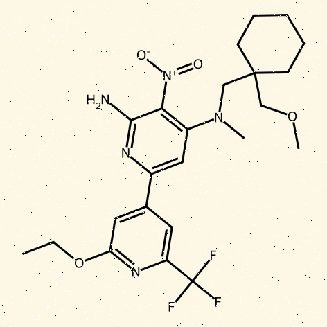 CCOc1cc(-c2cc(N(C)CC3(COC)CCCCC3)c([N+](=O)[O-])c(N)n2)cc(C(F)(F)F)n1